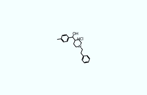 Cc1ccc(C(O)C2CCN(CCc3ccccc3)CC2)cc1.Cl